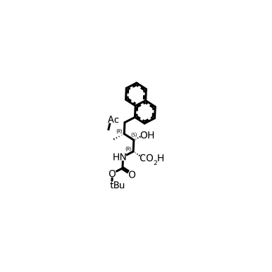 CC(C)=O.C[C@H](Cc1cccc2ccccc12)[C@H](O)[C@@H](NC(=O)OC(C)(C)C)C(=O)O